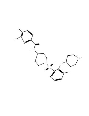 O=C(NC1CCN(S(=O)(=O)c2cccc(Cl)c2OC2CCNCC2)CC1)c1ccc(Cl)c(Cl)c1